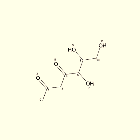 CC(=O)CC(=O)C(O)C(O)CO